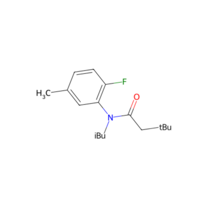 CCC(C)N(C(=O)CC(C)(C)C)c1cc(C)ccc1F